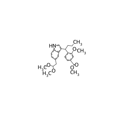 CCCC(c1ccc(C(=O)OC)cc1OC)c1c[nH]c2ccc(CC(OC)OC)cc12